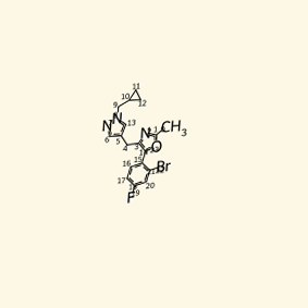 Cc1nc(Cc2cnn(CC3CC3)c2)c(-c2ccc(F)cc2Br)o1